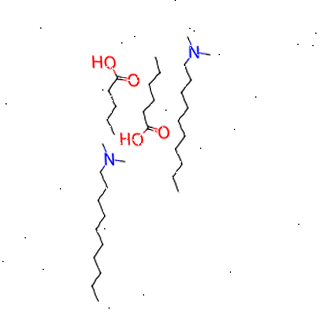 CCCCC(=O)O.CCCCCC(=O)O.CCCCCCCCCCN(C)C.CCCCCCCCCCN(C)C